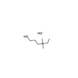 CC[N+](C)(C)CCCO.[OH-]